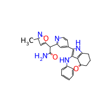 Cc1cc(C(C(N)=O)c2cc(-c3[nH]c4c(c3Nc3ccccc3)C(=O)CCC4)ccn2)on1